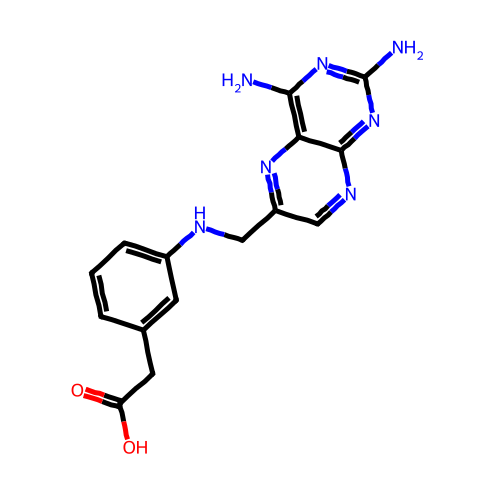 Nc1nc(N)c2nc(CNc3cccc(CC(=O)O)c3)cnc2n1